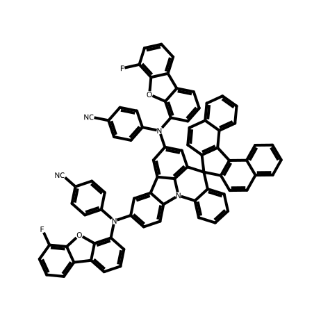 N#Cc1ccc(N(c2ccc3c(c2)c2cc(N(c4ccc(C#N)cc4)c4cccc5c4oc4c(F)cccc45)cc4c2n3-c2ccccc2C42c3ccc4ccccc4c3-c3c2ccc2ccccc32)c2cccc3c2oc2c(F)cccc23)cc1